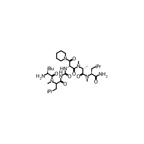 CC[C@H](C)C(N)C(=O)N(C)C(CC(C)C)C(=O)NC(=O)N[C@H](C(=O)N1CCCCC1)C(=O)N(C)[C@H](C)C(=O)N(C)[C@@H](CC(C)C)C(N)=O